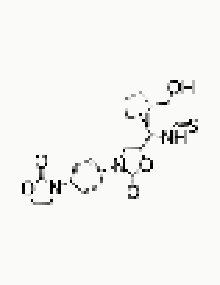 O=C1OCCN1c1ccc(N2C[C@@H](C(NC=S)N3CCC[C@H]3CO)OC2=O)cc1